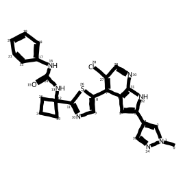 Cn1cc(-c2cc3c(-c4cnc(C5(NC(=O)Nc6ccccc6)CCC5)s4)c(Cl)cnc3[nH]2)cn1